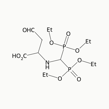 CCOP(=O)(OCC)C(NC(CC=O)C(=O)O)P(=O)(OCC)OCC